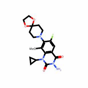 COc1c(N2CCC3(CC2)OCCO3)c(F)cc2c(=O)n(N)c(=O)n(C3CC3)c12